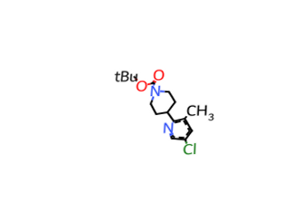 Cc1cc(Cl)cnc1C1CCN(C(=O)OC(C)(C)C)CC1